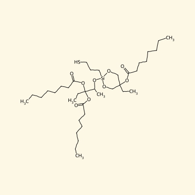 CCCCCCCC(=O)OC1(CC)CO[Si](CCCS)(OC(C)C(CC)(OC(=O)CCCCCCC)OC(=O)CCCCCCC)OC1